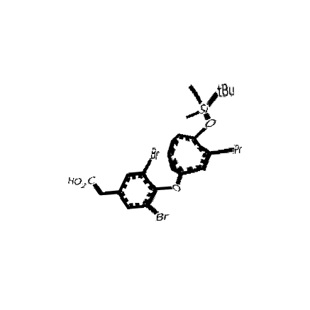 CC(C)c1cc(Oc2c(Br)cc(CC(=O)O)cc2Br)ccc1O[Si](C)(C)C(C)(C)C